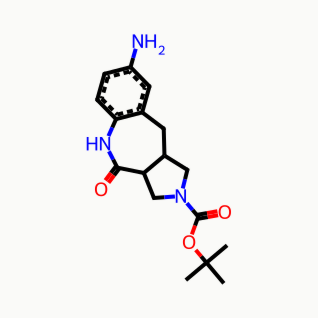 CC(C)(C)OC(=O)N1CC2Cc3cc(N)ccc3NC(=O)C2C1